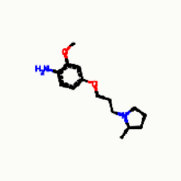 COc1cc(OCCCN2CCCC2C)ccc1N